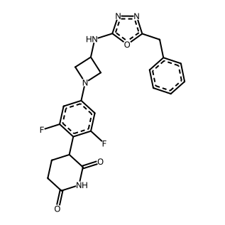 O=C1CCC(c2c(F)cc(N3CC(Nc4nnc(Cc5ccccc5)o4)C3)cc2F)C(=O)N1